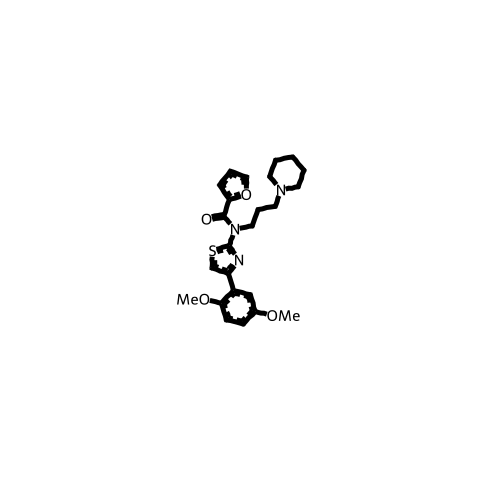 COc1ccc(OC)c(-c2csc(N(CCCN3CCCCC3)C(=O)c3ccco3)n2)c1